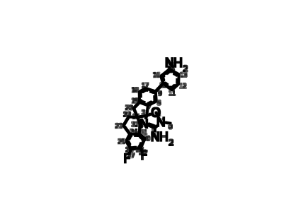 CN1OC2(N=C1N)c1cc(-c3cccc(N)c3)ccc1CC21CCc2cc(F)c(F)cc2C1